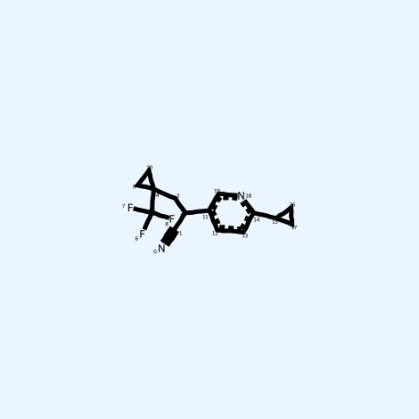 N#CC(CC1(C(F)(F)F)CC1)c1ccc(C2CC2)nc1